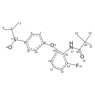 CC(C)[S+]([O-])c1ccc(Oc2cccc(F)c2NC(=O)C(C)(C)C)cc1